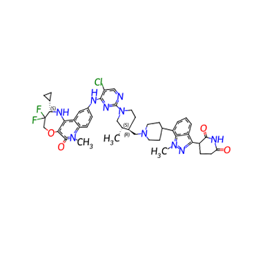 C[C@@H]1CN(c2ncc(Cl)c(Nc3ccc4c(c3)c3c(c(=O)n4C)OCC(F)(F)[C@H](C4CC4)N3)n2)CC[C@H]1CN1CCC(c2cccc3c(C4CCC(=O)NC4=O)nn(C)c23)CC1